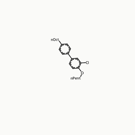 CCCCCCCCc1ccc(-c2ccc(OCCCCC)c(Cl)c2)cc1